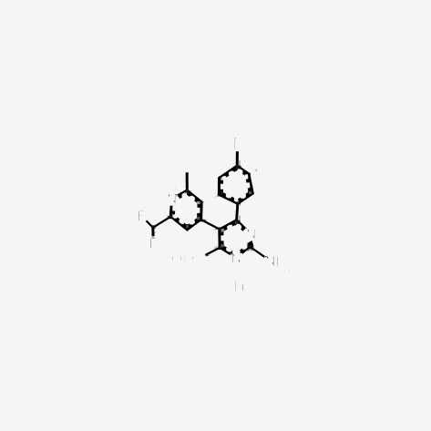 Cc1cc(-c2c(C(=O)[O-])nc(N)nc2-c2ccc(F)cc2)cc(C(F)F)n1.[Li+]